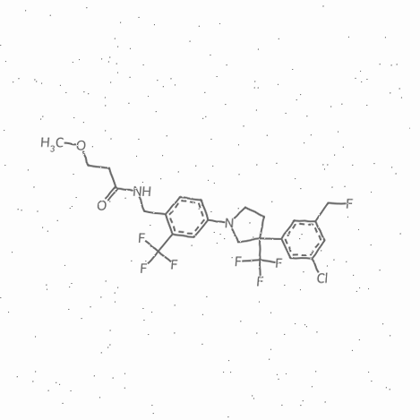 COCCC(=O)NCc1ccc(N2CCC(c3cc(Cl)cc(CF)c3)(C(F)(F)F)C2)cc1C(F)(F)F